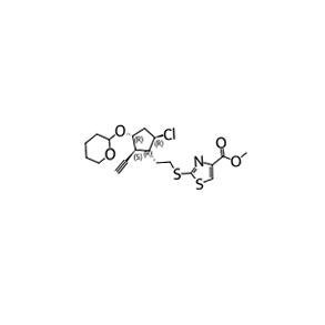 C#C[C@@H]1[C@@H](CCSc2nc(C(=O)OC)cs2)[C@H](Cl)C[C@H]1OC1CCCCO1